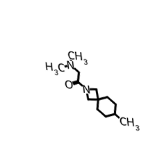 CC1CCC2(CC1)CN(C(=O)CN(C)C)C2